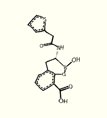 O=C(Cc1cccs1)N[C@H]1Cc2cccc(C(=O)O)c2OB1O